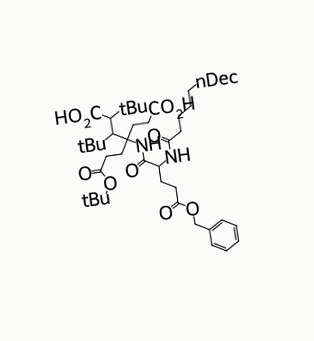 CCCCCCCCCCCCCCC(=O)NC(CCC(=O)OCc1ccccc1)C(=O)NC(CCC(=O)O)(CCC(=O)OC(C)(C)C)C(C(C(=O)O)C(C)(C)C)C(C)(C)C